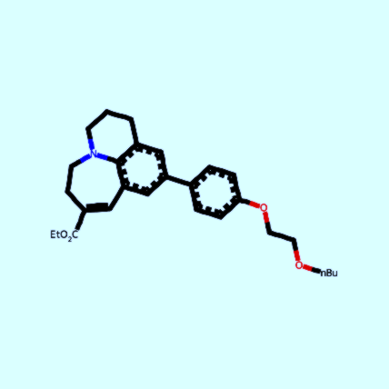 CCCCOCCOc1ccc(-c2cc3c4c(c2)CCCN4CCC(C(=O)OCC)=C3)cc1